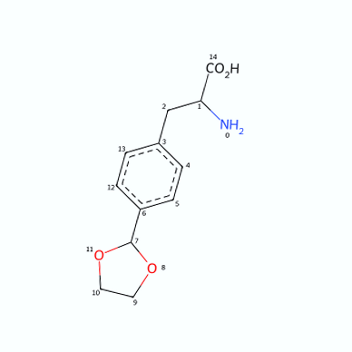 NC(Cc1ccc(C2OCCO2)cc1)C(=O)O